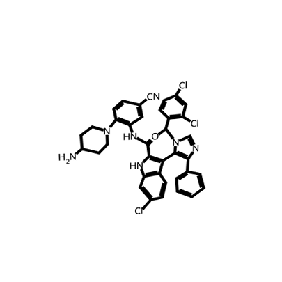 CC(c1ccc(Cl)cc1Cl)n1cnc(-c2ccccc2)c1-c1c(C(=O)Nc2cc(C#N)ccc2N2CCC(N)CC2)[nH]c2cc(Cl)ccc12